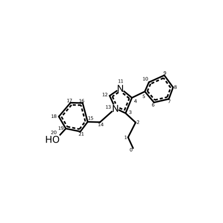 CCCc1c(-c2ccccc2)ncn1Cc1cccc(O)c1